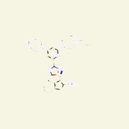 COCCN1CCCN(c2cc(N3CCNCC3)cc(-c3noc([C@@]4(C)CCCc5sc(N)c(C#N)c54)n3)n2)[C@@H](C)C1